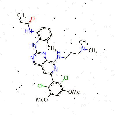 C=CC(=O)Nc1cccc(C)c1Nc1ncc2cc(-c3c(Cl)c(OC)cc(OC)c3Cl)nc(NCCCN(C)C)c2n1